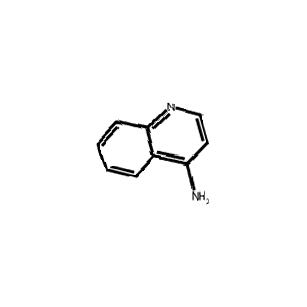 Nc1c[c]nc2ccccc12